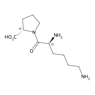 NCCCC[C@H](N)C(=O)N1CCC[C@H]1C(=O)O